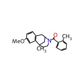 COc1ccc2c(c1)[C@]1(C)CCN(C(=O)c3ccccc3C)C(C2)C1